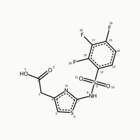 O=C(O)Cc1csc(NS(=O)(=O)c2ccc(F)c(F)c2F)n1